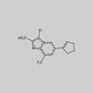 O=C(O)c1nc2c(C(F)(F)F)cc(C3=CCCC3)cn2c1Cl